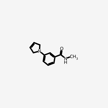 CNC(=O)c1cccc(N2CC=CC2)c1